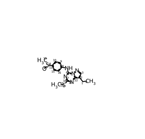 CCc1cnn2c(Nc3ccc([S+](C)[O-])cc3)nc(SC)nc12